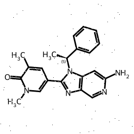 Cc1cc(-c2nc3cnc(N)cc3n2[C@@H](C)c2ccccc2)cn(C)c1=O